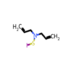 C=CCN(CC=C)SI